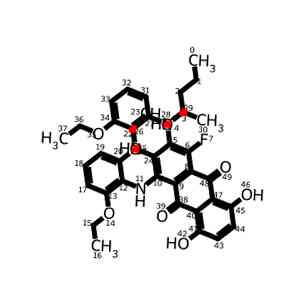 CCCCNc1c(F)c2c(c(Nc3c(OCC)cccc3OCC)c1Nc1c(OCC)cccc1OCC)C(=O)c1c(O)ccc(O)c1C2=O